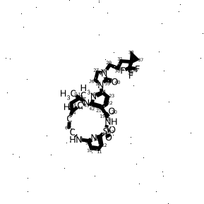 CC1(C)C[C@@H]2CCCNc3cccc(n3)S(=O)(=O)NC(=O)c3ccc(N4CCN(CCCC5(C(F)(F)F)CC5)C4=O)nc3N1C2